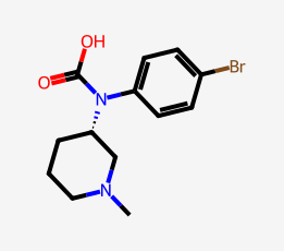 CN1CCC[C@H](N(C(=O)O)c2ccc(Br)cc2)C1